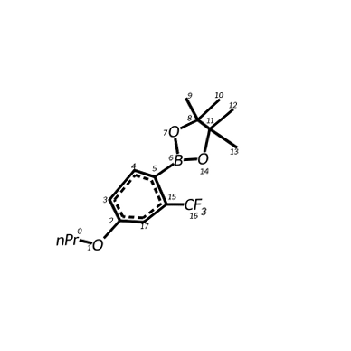 CCCOc1ccc(B2OC(C)(C)C(C)(C)O2)c(C(F)(F)F)c1